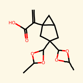 C=C(C(=O)O)C12CC1CC(C1OC(C)O1)(C1OC(C)O1)C2